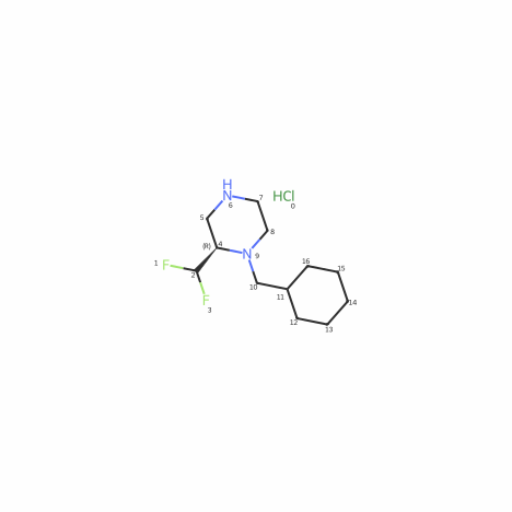 Cl.FC(F)[C@H]1CNCCN1CC1CCCCC1